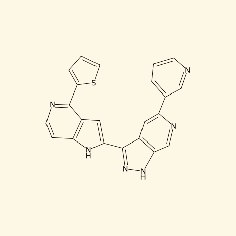 c1cncc(-c2cc3c(-c4cc5c(-c6cccs6)nccc5[nH]4)n[nH]c3cn2)c1